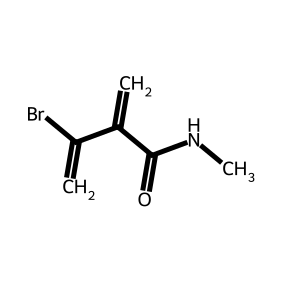 C=C(Br)C(=C)C(=O)NC